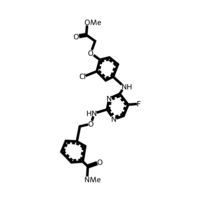 CNC(=O)c1cccc(CONc2ncc(F)c(Nc3ccc(OCC(=O)OC)c(Cl)c3)n2)c1